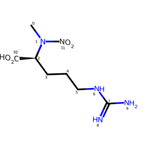 CN([C@@H](CCCNC(=N)N)C(=O)O)[N+](=O)[O-]